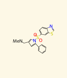 CNCc1cc(-c2ccccc2)n(S(=O)(=O)c2ccc3ncsc3c2)c1